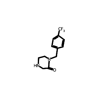 O=C1CNCCN1Cc1ccc(C(F)(F)F)cc1